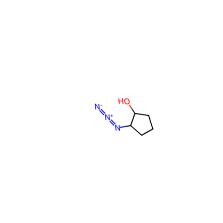 [N-]=[N+]=NC1CCCC1O